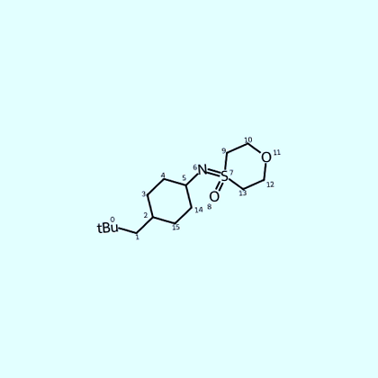 CC(C)(C)CC1CCC(N=S2(=O)CCOCC2)CC1